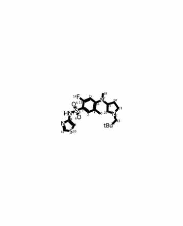 Cc1cc(S(=O)(=O)Nc2cscn2)c(F)cc1N(C)C1CCN(CC(C)(C)C)C1